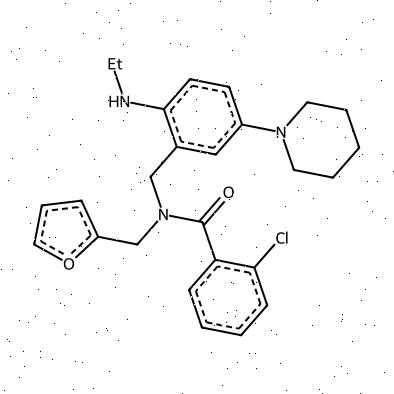 CCNc1ccc(N2CCCCC2)cc1CN(Cc1ccco1)C(=O)c1ccccc1Cl